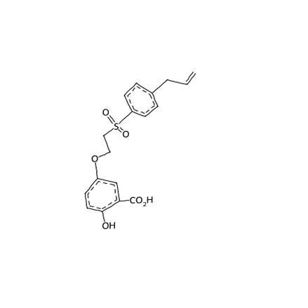 C=CCc1ccc(S(=O)(=O)CCOc2ccc(O)c(C(=O)O)c2)cc1